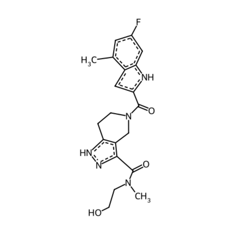 Cc1cc(F)cc2[nH]c(C(=O)N3CCc4[nH]nc(C(=O)N(C)CCO)c4C3)cc12